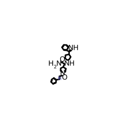 NC(=O)C(NC1CCC(c2c[nH]c3ccccc23)CC1)C1CCN(C(=O)/C=C/c2ccccc2)CC1